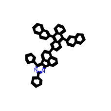 c1ccc(-c2nc(-c3ccccc3)c3c(n2)-c2cccc4c(-c5ccc6c(-c7ccc8ccccc8c7)c7ccccc7c(-c7ccc8ccccc8c7)c6c5)ccc-3c24)cc1